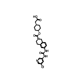 O=C(O)C[C@H]1CC[C@H](OC(=O)N2CCc3cc(NC(=O)Nc4cncc(Cl)c4)ccc3C2)CC1